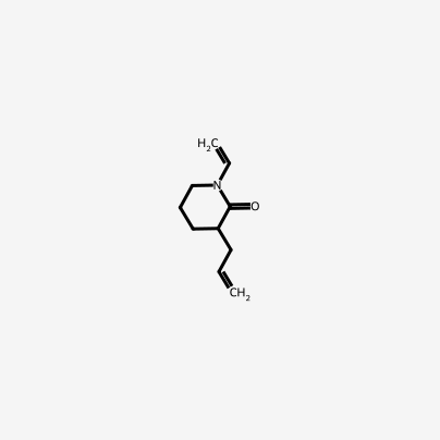 C=CCC1CCCN(C=C)C1=O